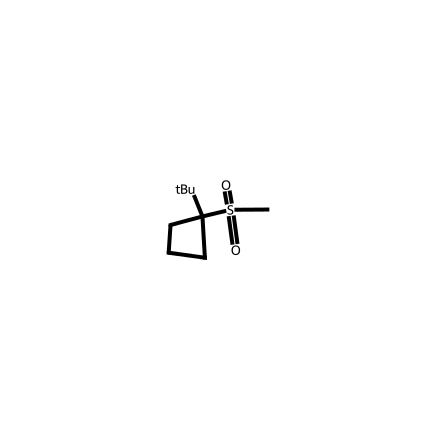 CC(C)(C)C1(S(C)(=O)=O)CCC1